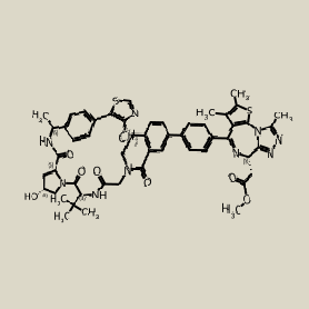 COC(=O)C[C@@H]1N=C(c2ccc(-c3ccc4c(c3)C(=O)N(CC(=O)N[C@H](C(=O)N3C[C@H](O)C[C@H]3C(=O)N[C@@H](C)c3ccc(-c5scnc5C)cc3)C(C)(C)C)CC4)cc2)c2c(sc(C)c2C)-n2c(C)nnc21